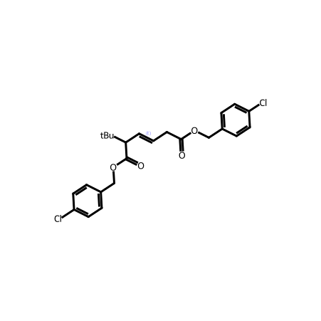 CC(C)(C)C(/C=C/CC(=O)OCc1ccc(Cl)cc1)C(=O)OCc1ccc(Cl)cc1